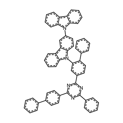 c1ccc(-c2ccc(-c3nc(-c4ccccc4)nc(-c4ccc(-c5ccccc5)c(-n5c6ccccc6c6cc(-n7c8ccccc8c8ccccc87)ccc65)c4)n3)cc2)cc1